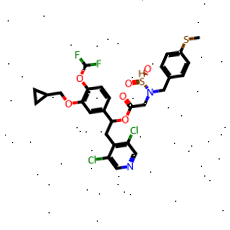 CSc1ccc(CN(CC(=O)OC(Cc2c(Cl)cncc2Cl)c2ccc(OC(F)F)c(OCC3CC3)c2)[SH](=O)=O)cc1